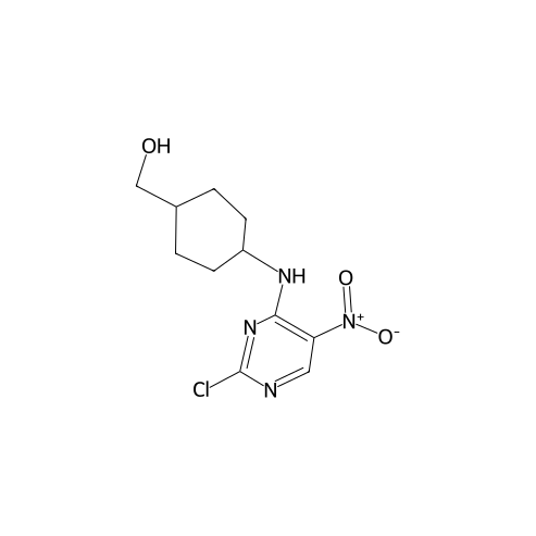 O=[N+]([O-])c1cnc(Cl)nc1NC1CCC(CO)CC1